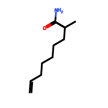 C=CCCCCCC(C)C(N)=O